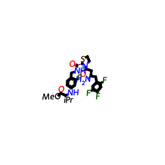 COC(=O)[C@@H](Nc1ccc(CNC(=O)[C@@H]2SCCN2C(=O)C[C@H](N)Cc2cc(F)c(F)cc2F)c(F)c1)C(C)C